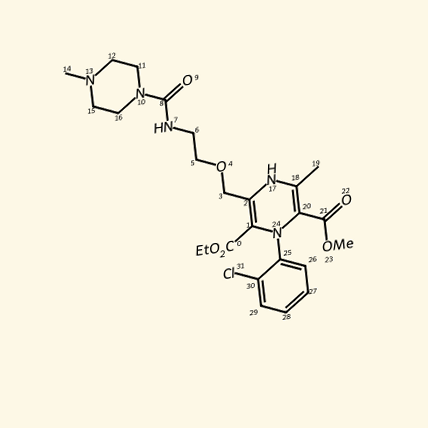 CCOC(=O)C1=C(COCCNC(=O)N2CCN(C)CC2)NC(C)=C(C(=O)OC)N1c1ccccc1Cl